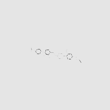 C=CCOc1ccc(C2CCC(CCc3ccc(-c4ccc(OCC)cc4)c(F)c3F)CC2)c(F)c1